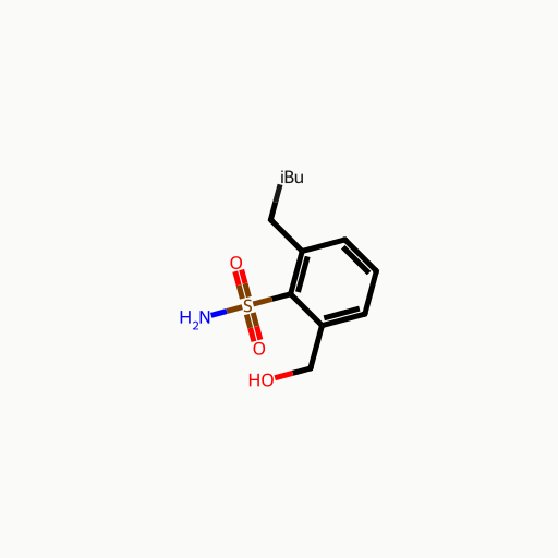 CCC(C)Cc1cccc(CO)c1S(N)(=O)=O